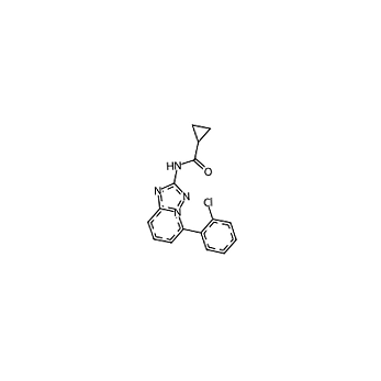 O=C(Nc1nc2cccc(-c3ccccc3Cl)n2n1)C1CC1